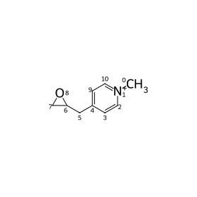 C[n+]1ccc(CC2CO2)cc1